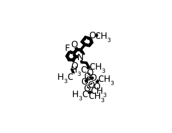 CCCOc1ccc(F)c2c(=O)c(-c3ccc(OC)cc3)cn(CCC(C)(C)OOP(=O)(OOC(C)(C)C)OC(C)=O)c12